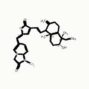 C=C1CCC2[C@](C)(CC[C@@H](O)[C@@]2(C)CO)C1/C=C/C1=CC(=C\C2=CN3CC(=O)N(C)C3C=C2)/OC1=O